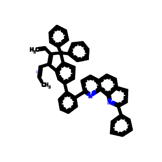 C=CC1=C(/C=C\C)c2cc(-c3ccccc3-c3ccc4ccc5ccc(-c6ccccc6)nc5c4n3)ccc2[Si]1(c1ccccc1)c1ccccc1